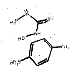 Cc1ccc(S(=O)(=O)O)cc1.N=C(NN)NO